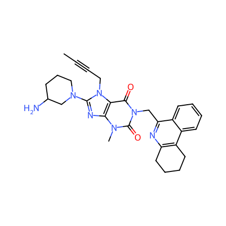 CC#CCn1c(N2CCCC(N)C2)nc2c1c(=O)n(Cc1nc3c(c4ccccc14)CCCC3)c(=O)n2C